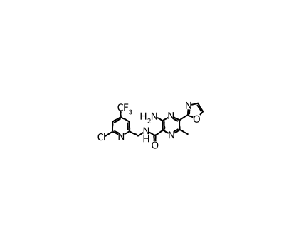 Cc1nc(C(=O)NCc2cc(C(F)(F)F)cc(Cl)n2)c(N)nc1-c1ncco1